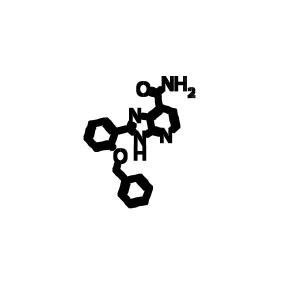 NC(=O)c1ccnc2[nH]c(-c3ccccc3OCc3ccccc3)nc12